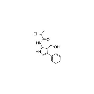 CC(Cl)C(=O)NC1NC=C(C2=CCCC=C2)C1CO